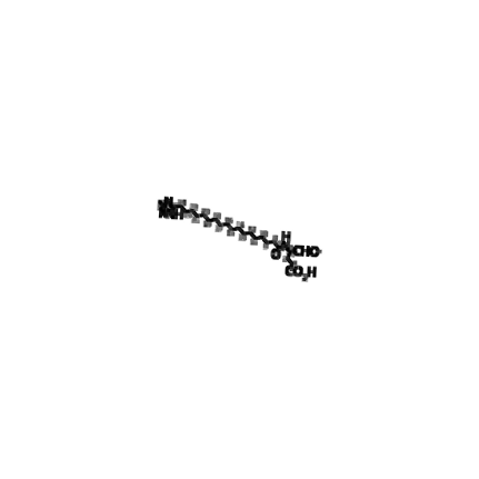 O=[C][C@H](CCC(=O)O)NC(=O)CCCCCCCCCCCCCCCCCc1nnn[nH]1